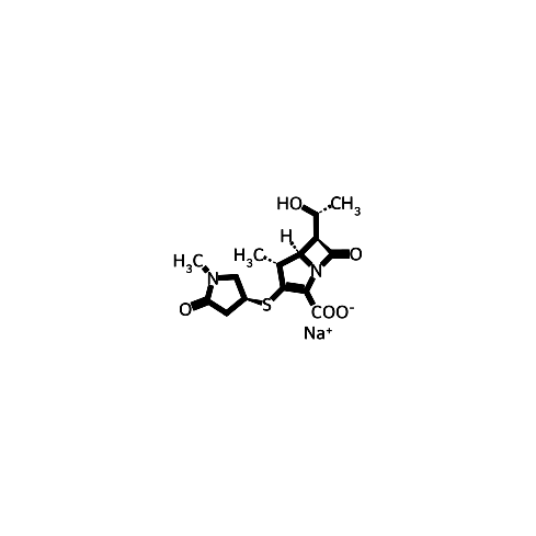 C[C@@H](O)[C@H]1C(=O)N2C(C(=O)[O-])=C(S[C@H]3CC(=O)N(C)C3)[C@H](C)[C@@H]12.[Na+]